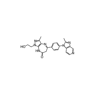 Cc1nn(CCO)c2c1N=C(c1ccc(-n3c(C)nc4cnccc43)cc1)CC(=O)N2